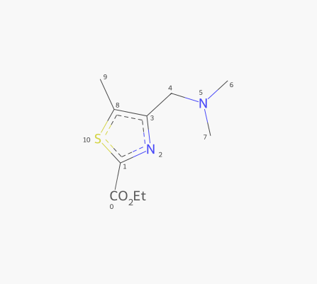 CCOC(=O)c1nc(CN(C)C)c(C)s1